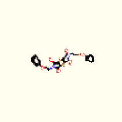 O=c1c2sc3c(=O)n(CCOc4ccccc4)c(=O)c3sc2c(=O)n1CCOc1ccccc1